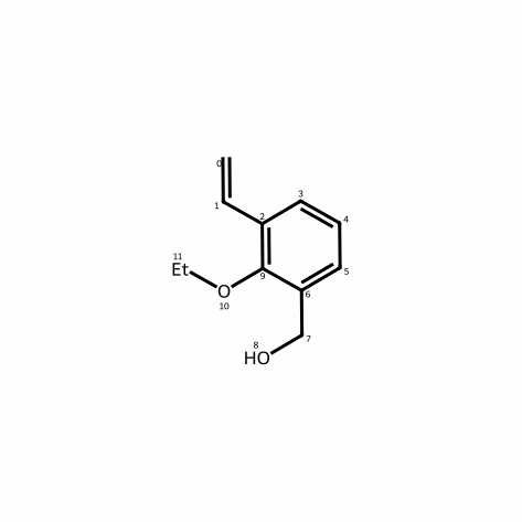 C=Cc1cccc(CO)c1OCC